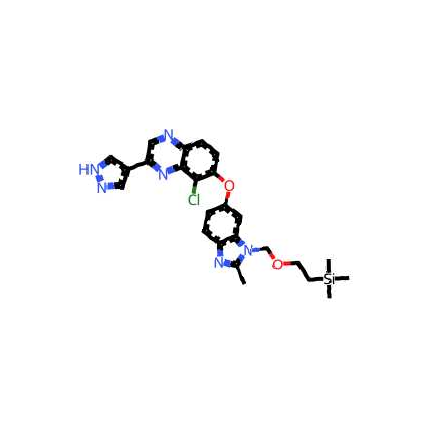 Cc1nc2ccc(Oc3ccc4ncc(-c5cn[nH]c5)nc4c3Cl)cc2n1COCC[Si](C)(C)C